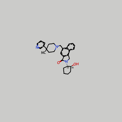 N#CC1(c2cccnc2)CCN(Cc2cc3c(c4ccccc24)CN([C@H]2CCCC[C@@H]2O)C3=O)CC1